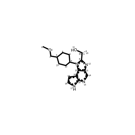 COCC1CCC(n2c([C@@H](C)O)nc3cnc4[nH]ccc4c32)CC1